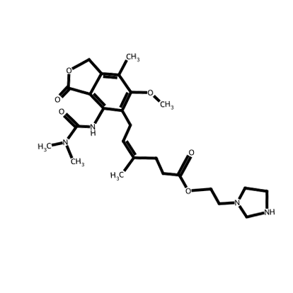 COc1c(C)c2c(c(NC(=O)N(C)C)c1CC=C(C)CCC(=O)OCCN1CCNC1)C(=O)OC2